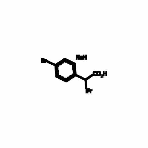 CC(C)C(C(=O)O)c1ccc(Br)cc1.[NaH]